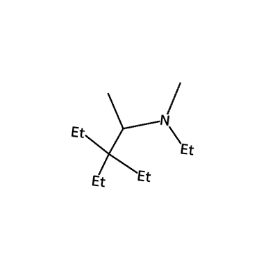 CCN(C)C(C)C(CC)(CC)CC